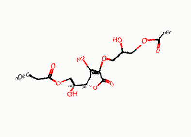 CCCCCCCCCCCC(=O)OC[C@H](O)[C@H]1OC(=O)C(OCC(O)COC(=O)CCC)=C1O